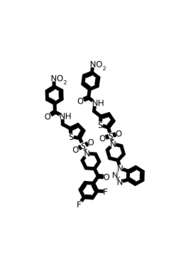 O=C(NCc1ccc(S(=O)(=O)N2CCC(C(=O)c3ccc(F)cc3F)CC2)s1)c1ccc([N+](=O)[O-])cc1.O=C(NCc1ccc(S(=O)(=O)N2CCC(n3nnc4ccccc43)CC2)s1)c1ccc([N+](=O)[O-])cc1